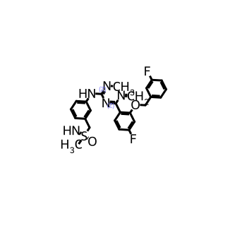 C=N/C(=N\C(=N/C)Nc1cccc(CS(C)(=N)=O)c1)c1ccc(F)cc1OCc1cccc(F)c1